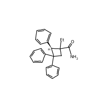 CCC1(C(N)=O)CC(c2ccccc2)(c2ccccc2)[C@H]1c1ccccc1